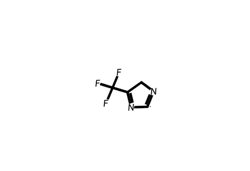 FC(F)(F)C1=N[C]=NC1